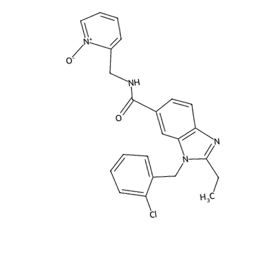 CCc1nc2ccc(C(=O)NCc3cccc[n+]3[O-])cc2n1Cc1ccccc1Cl